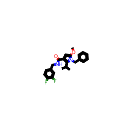 COc1cc(C(=O)NCc2ccc(F)c(F)c2)c(C(C)C)n1Cc1ccccc1